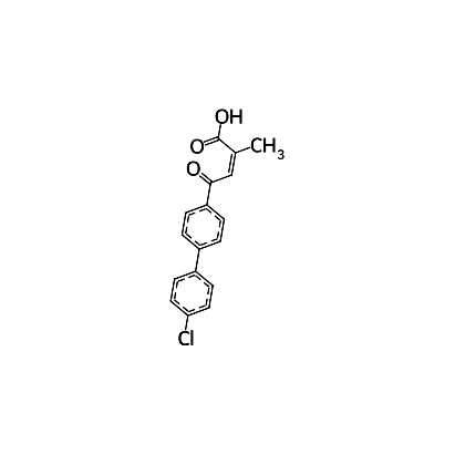 CC(=CC(=O)c1ccc(-c2ccc(Cl)cc2)cc1)C(=O)O